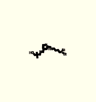 CCN(CC)CCCCNCc1cc(/C=N/CC(C)(C)CO)ccn1